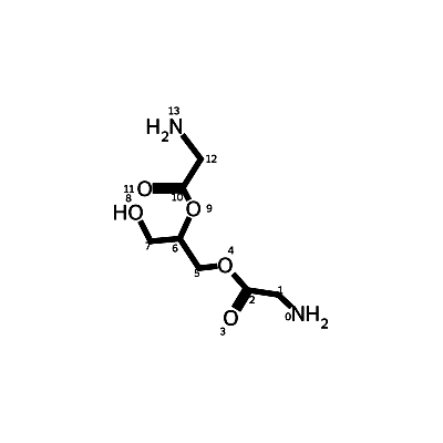 NCC(=O)OCC(CO)OC(=O)CN